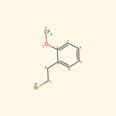 FC(F)(F)Oc1ccccc1CCBr